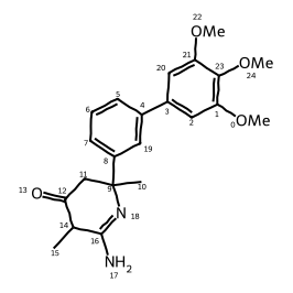 COc1cc(-c2cccc(C3(C)CC(=O)C(C)C(N)=N3)c2)cc(OC)c1OC